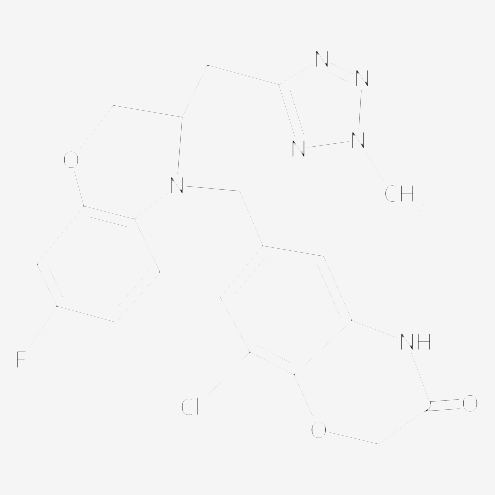 Cn1nnc(CC2COc3cc(F)ccc3N2Cc2cc(Cl)c3c(c2)NC(=O)CO3)n1